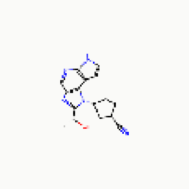 C[C@@H](O)c1nc2cnc3[nH]ccc3c2n1[C@@H]1CC[C@@H](C#N)C1